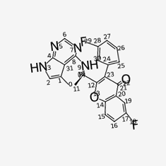 Cc1c[nH]c2ncnc(N[C@H](C)c3oc4ccc(F)cc4c(=O)c3-c3cccc(F)c3)c12